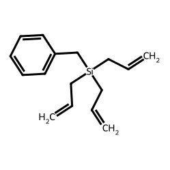 C=CC[Si](CC=C)(CC=C)Cc1ccccc1